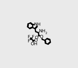 N[C@@H](Cc1c[nH]c2ccccc12)C(=O)OCc1ccccc1.O=C(O)C(F)(F)F